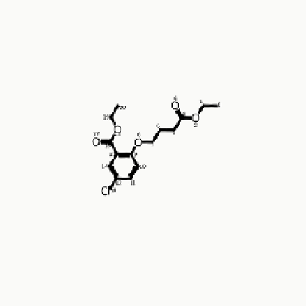 CCOC(=O)CCCOc1ccc(Cl)cc1C(=O)OCC